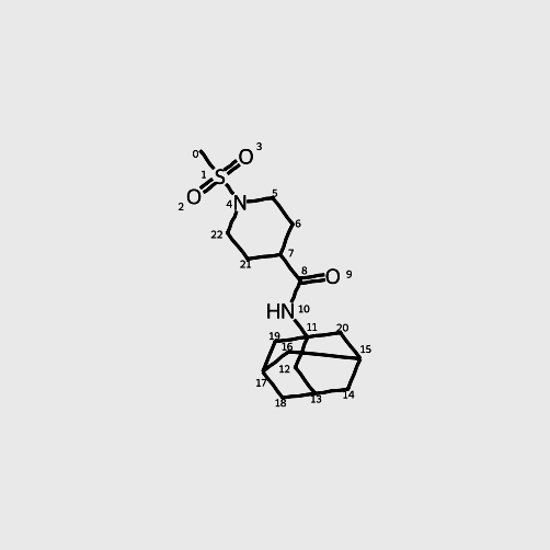 CS(=O)(=O)N1CCC(C(=O)NC23CC4CC(CC(C4)C2)C3)CC1